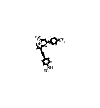 CCNc1ccc(C#Cc2cnn3c(C(F)(F)F)cc(-c4ccc(C(F)(F)F)cc4)nc23)cc1